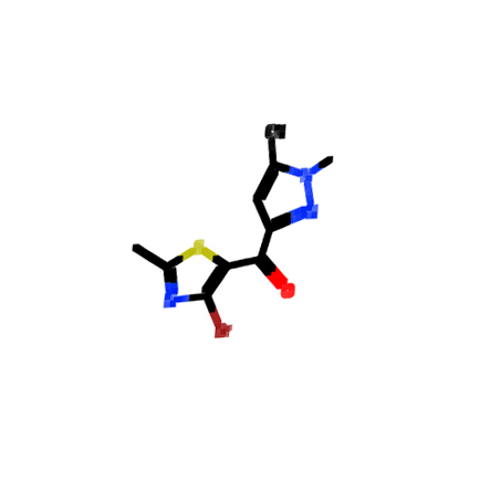 Cc1nc(Br)c(C(=O)c2cc(C#N)n(C)n2)s1